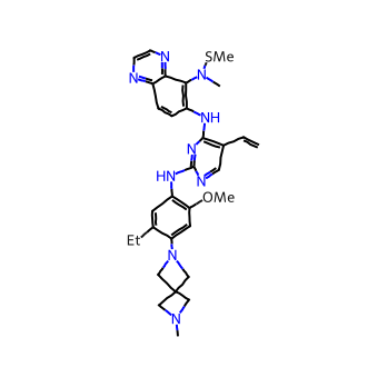 C=Cc1cnc(Nc2cc(CC)c(N3CC4(CN(C)C4)C3)cc2OC)nc1Nc1ccc2nccnc2c1N(C)SC